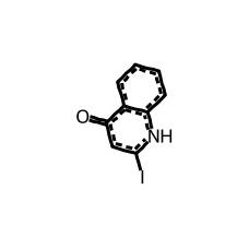 O=c1cc(I)[nH]c2ccccc12